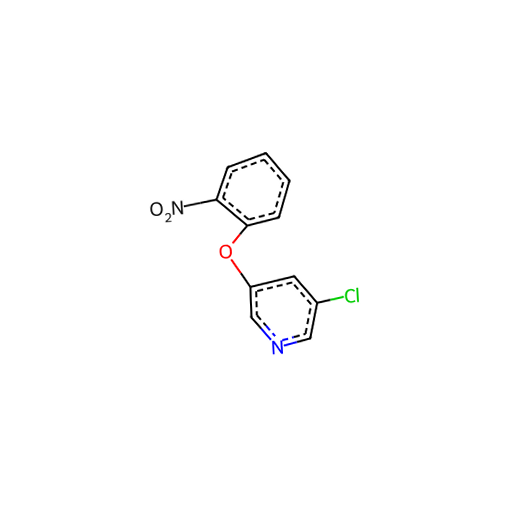 O=[N+]([O-])c1ccccc1Oc1cncc(Cl)c1